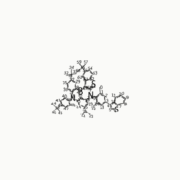 Cc1cc(-c2csc3ccccc23)cc(C)c1N1c2cc(C(C)C)cc3c2B(c2cc(C(C)(C)C)ccc2N3c2ccc(C(C)(C)C)cc2)c2c1sc1ccc(C(C)(C)C)cc21